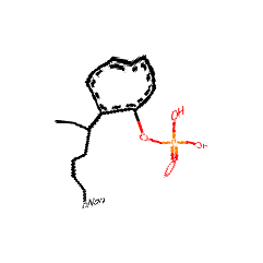 CCCCCCCCCCCC(C)c1ccccc1OP(=O)(O)O